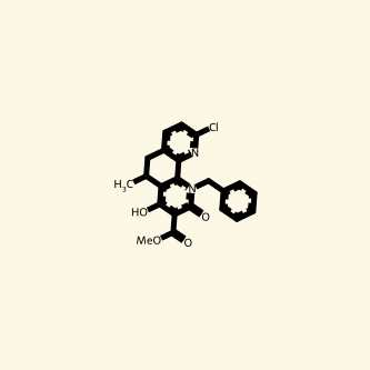 COC(=O)c1c(O)c2c(n(Cc3ccccc3)c1=O)-c1nc(Cl)ccc1CC2C